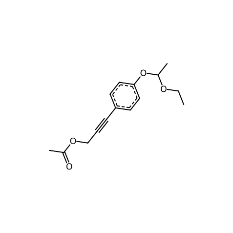 CCOC(C)Oc1ccc(C#CCOC(C)=O)cc1